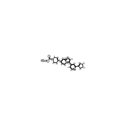 CC(C)(C)OC(=O)N1CC=C(c2ccn3c(-c4ccnc(C5=CCCC5)c4)cnc3c2)CC1